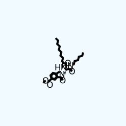 CCCCCCCCCC(=O)N[C@@H](CN1Cc2ccc(C(=O)OC)cc2C1=O)C(=O)NCCCCCC